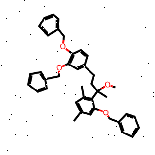 COC(C)(CCc1ccc(OCc2ccccc2)c(OCc2ccccc2)c1)c1c(C)cc(C)cc1OCc1ccccc1